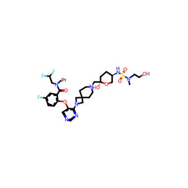 CC(C)N(CC(F)F)C(=O)c1cc(F)ccc1Oc1cncnc1N1CC2(CCN(C[C@@]3(O)CC[C@@H](NS(=O)(=O)N(C)CCO)CO3)CC2)C1